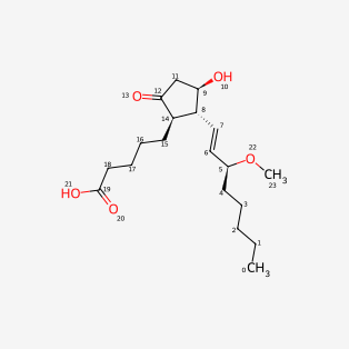 CCCCC[C@@H](/C=C/[C@H]1[C@H](O)CC(=O)[C@@H]1CCCCC(=O)O)OC